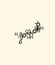 Bc1cc(C(=O)NC(=S)Nc2ccc(S(=O)(=O)Nc3ccc(C)c(C)c3)cc2)ccc1OCCOC